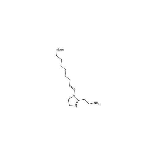 CCCCCCCCCCCCCCCC=CN1CCN=C1CCN